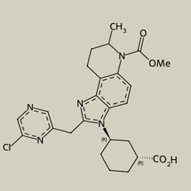 COC(=O)N1c2ccc3c(nc(Cc4cncc(Cl)n4)n3[C@@H]3CCC[C@@H](C(=O)O)C3)c2CCC1C